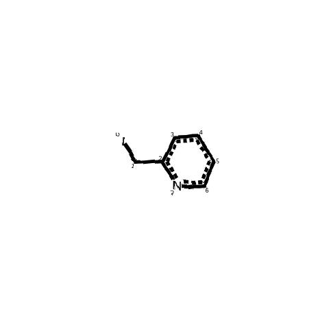 ICc1ccccn1